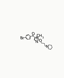 Cn1c(C(=O)c2ccc(Br)cc2)cnc1OCCCN1CCCCC1